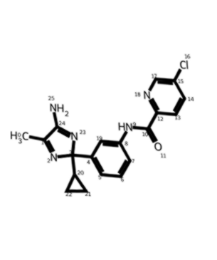 CC1=NC(c2cccc(NC(=O)c3ccc(Cl)cn3)c2)(C2CC2)N=C1N